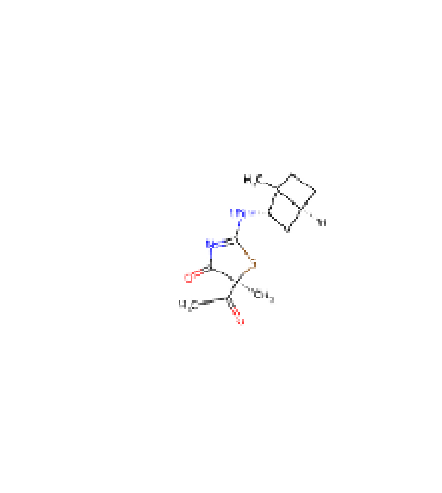 CC(=O)[C@]1(C)SC(N[C@H]2C[C@@H]3CCC32C)=NC1=O